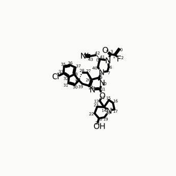 C=C(F)C(=O)N1CCN(c2nc(OCC34CCCN3CC(O)CC4)nc3c2CC[C@@]2(C=Cc4c(Cl)cccc42)C3)C[C@@H]1CC#N